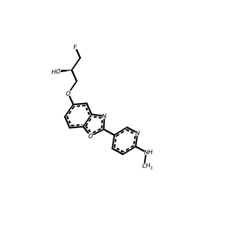 CNc1ccc(-c2nc3cc(OC[C@@H](O)CF)ccc3o2)cn1